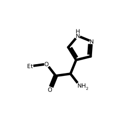 CCOC(=O)C(N)c1cn[nH]c1